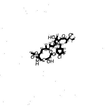 CC[C@H](OC)C(C)C1OC1C(NCc1ccc(Cl)c(F)c1)C(C)(O)/C=C/C=C(\C)[C@H]1OC(=O)CC(O)CCC(C)(O)[C@@H](OC(C)=O)/C=C/C1C